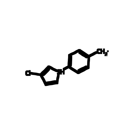 [CH2]c1ccc([SH]2C=CC(Cl)=C2)cc1